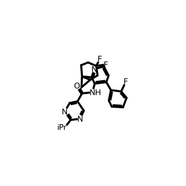 CC(C)c1ncc(C(=O)Nc2c(-c3ccccc3F)ccnc2C23CCC(F)(F)CC2C3)cn1